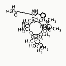 CC[C@H]1OC(=O)[C@H](C)[C@@H](O[C@H]2C[C@@](C)(OC)[C@@H](O)[C@H](C)O2)[C@H](C)[C@@H](O[C@@H]2O[C@H](C)C[C@H](N(C)Cc3cccc(-c4cn(CCCCCCC(=O)NO)nn4)c3)[C@@H]2O)[C@](C)(O)C[C@@H](C)CN(C)[C@H](C)[C@@H](O)[C@]1(C)O